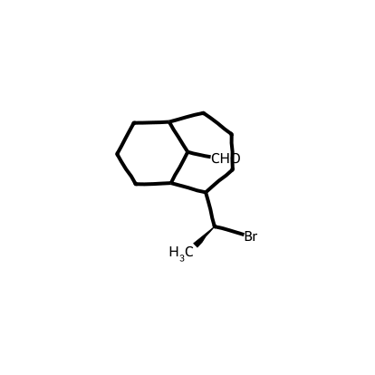 C[C@H](Br)C1CCCC2CCCC1C2C=O